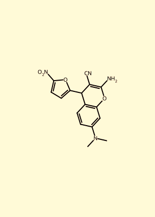 CN(C)c1ccc2c(c1)OC(N)=C(C#N)C2c1ccc([N+](=O)[O-])o1